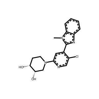 Cn1c(-c2cc(N3CC[C@@H](O)[C@@H](O)C3)ncc2Cl)nc2ccccc21